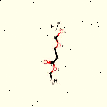 CCOC(=O)CCOCOC